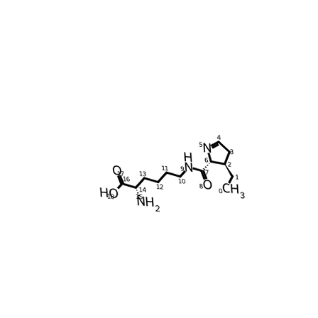 CC[C@@H]1CC=N[C@H]1C(=O)NCCCC[C@H](N)C(=O)O